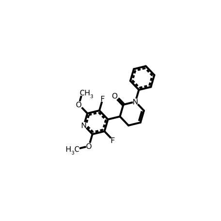 COc1nc(OC)c(F)c(C2CC=CN(c3ccccc3)C2=O)c1F